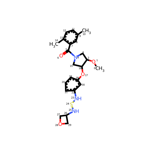 COC1CN(C(=O)c2cc(C)ccc2C)CC1Oc1cccc(NSNC2COC2)c1